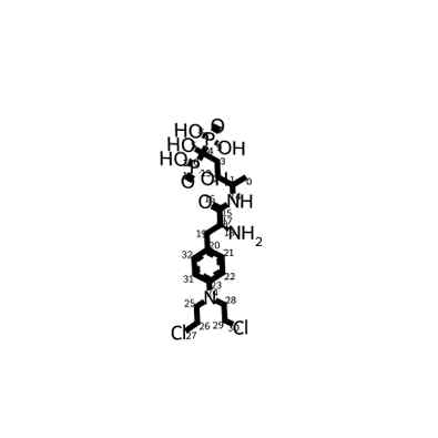 CC(CCC(O)(P(=O)(O)O)P(=O)(O)O)NC(=O)[C@@H](N)Cc1ccc(N(CCCl)CCCl)cc1